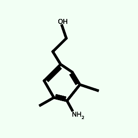 Cc1cc(CCO)cc(C)c1N